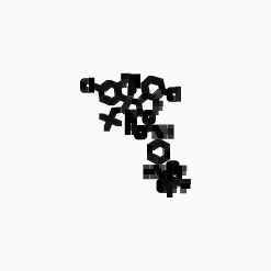 CC(C)(C)C[C@@H]1N[C@H](OC(=O)Nc2ccc(NS(=O)(=O)C(F)(F)F)cc2)[C@H](c2cccc(Cl)c2F)[C@@]1(C#N)c1ccc(Cl)cc1F